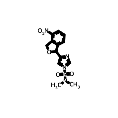 CN(C)S(=O)(=O)n1cnc(C2OCc3c2cccc3[N+](=O)[O-])c1